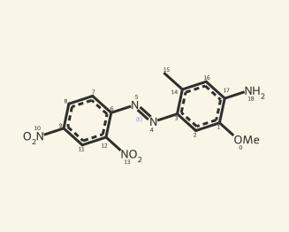 COc1cc(/N=N/c2ccc([N+](=O)[O-])cc2[N+](=O)[O-])c(C)cc1N